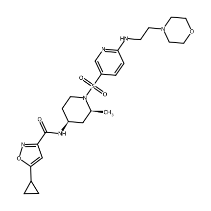 C[C@H]1C[C@@H](NC(=O)c2cc(C3CC3)on2)CCN1S(=O)(=O)c1ccc(NCCN2CCOCC2)nc1